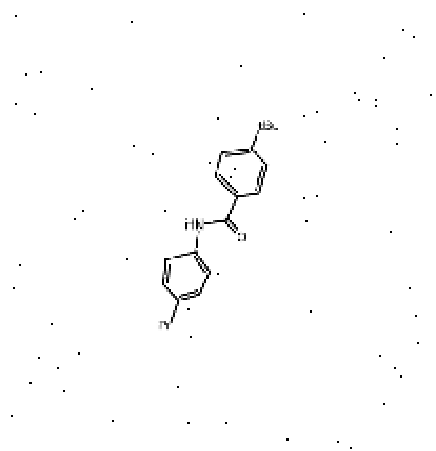 CC(C)c1ccc(NC(=O)c2ccc(C(C)(C)C)cc2)cc1